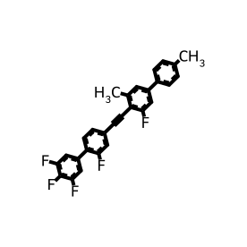 Cc1ccc(-c2cc(C)c(C#Cc3ccc(-c4cc(F)c(F)c(F)c4)c(F)c3)c(F)c2)cc1